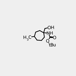 CC1CCCC(CO)(NC(=O)OC(C)(C)C)CC1